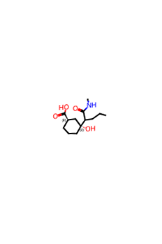 CCCC(C(=O)NC)[C@@]1(O)CCC[C@@H](C(=O)O)C1